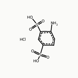 Cl.Nc1ccc(S(=O)(=O)O)cc1S(=O)(=O)O